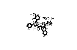 CS(=O)(=O)O.Cc1c(O)cccc1C(=O)NC(CSc1ccccc1)C(O)CN1CC2CCCCC2CC1C(=O)NC(C)(C)C